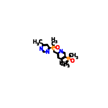 Cc1cc(P(C)(=O)Cc2cc(C)c(P(C)(C)=O)cn2)ncn1